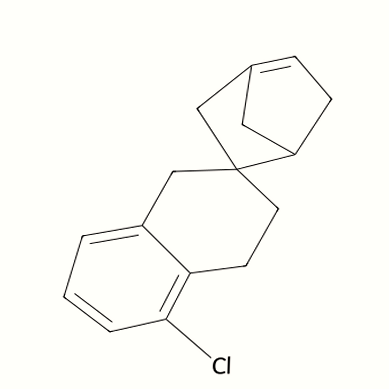 Clc1cccc2c1CCC1(CC3=CCC1C3)C2